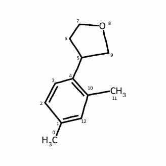 Cc1ccc(C2CCOC2)c(C)c1